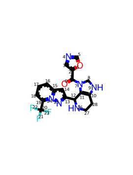 O=C(c1cnco1)N1CNC2=C1C(c1cc3cccc(C(F)(F)F)n3n1)NCC2